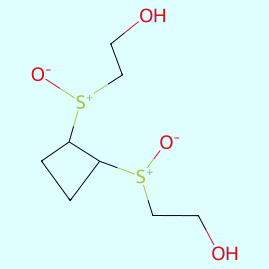 [O-][S+](CCO)C1CCC1[S+]([O-])CCO